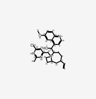 C=CC1CCC(C(O)c2ccnc3ccc(OC)cc23)[N+]2(Cc3cc(Cl)nc(C)n3)CCC2C1